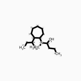 CCCC(O)N(C)C1CCCCCC1C(C)CC